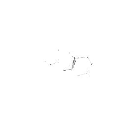 CCCCC1=C(N)CCCC1